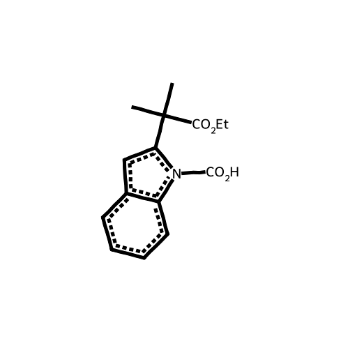 CCOC(=O)C(C)(C)c1cc2ccccc2n1C(=O)O